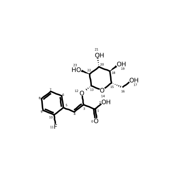 O=C(O)/C(=C/c1ccccc1F)O[C@H]1O[C@@H](CO)[C@H](O)[C@@H](O)[C@@H]1O